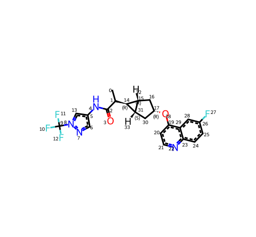 CC(C(=O)Nc1cnn(C(F)(F)F)c1)[C@H]1[C@@H]2C[C@H](Oc3ccnc4ccc(F)cc34)C[C@@H]21